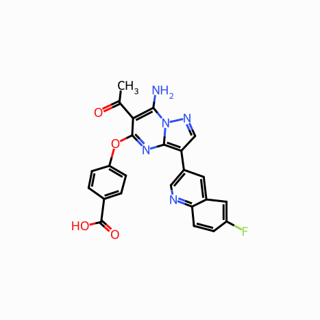 CC(=O)c1c(Oc2ccc(C(=O)O)cc2)nc2c(-c3cnc4ccc(F)cc4c3)cnn2c1N